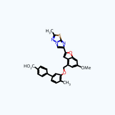 COc1cc(COc2cc(-c3ccc(C(=O)O)cc3)ccc2C)c2cc(-c3cn4nc(C)sc4n3)oc2c1